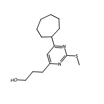 CSc1nc(CCCO)cc(C2CCCCCC2)n1